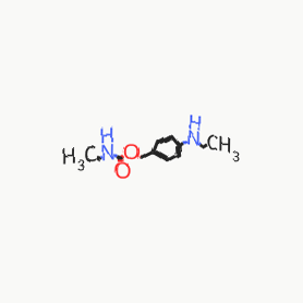 CCNC(=O)OCc1ccc(NCC)cc1